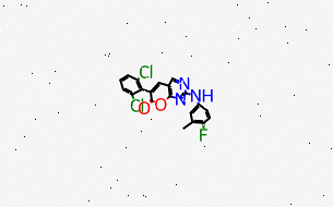 Cc1cc(Nc2ncc3cc(-c4c(Cl)cccc4Cl)c(=O)oc3n2)ccc1F